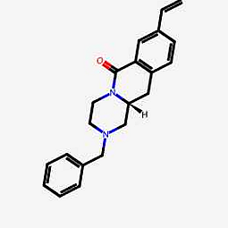 C=Cc1ccc2c(c1)C(=O)N1CCN(Cc3ccccc3)C[C@H]1C2